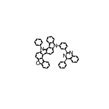 c1ccc(-c2nc(-c3cccc(-n4c5ccccc5c5c4ccc4c6c7c(ccc6n(-c6ccccc6)c45)oc4ccccc47)c3)nc3ccccc23)cc1